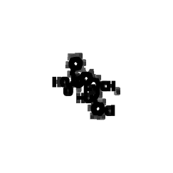 C[C@H](Cc1ccc2c(c1)cc(C(=O)O)n2Cc1ccccc1)NC[C@H](O)c1cccc(Cl)c1